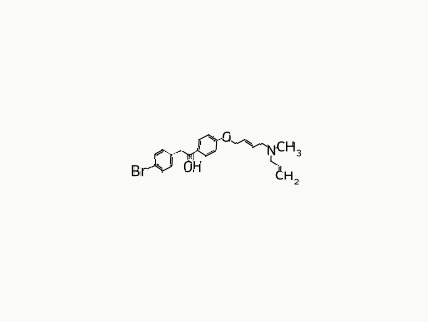 C=CCN(C)CC=CCOc1ccc([C@H](O)Cc2ccc(Br)cc2)cc1